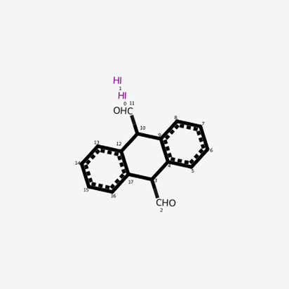 I.I.O=CC1c2ccccc2C(C=O)c2ccccc21